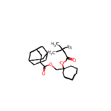 CCC(C)(C)C(=O)OC1(COC(=O)C23CC4CC(CC(C4)C2)C3)CCCCC1